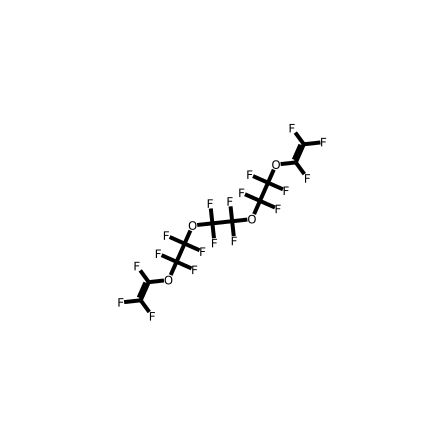 FC(F)=C(F)OC(F)(F)C(F)(F)OC(F)(F)C(F)(F)OC(F)(F)C(F)(F)OC(F)=C(F)F